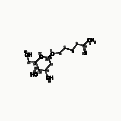 CC(=S)CCCCO[C@H]1CC(O)[C@H](O)C(CO)O1